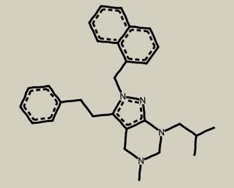 CC(C)CN1CN(C)Cc2c1nn(Cc1cccc3ccccc13)c2CCc1ccccc1